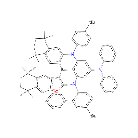 CC(C)(C)c1ccc(N2c3cc4c(cc3B3c5c2cc(N(c2ccccc2)c2ccccc2)cc5N(c2ccc(C(C)(C)C)cc2-c2ccccc2)c2oc5cc6c(cc5c23)C(C)(C)CCC6(C)C)C(C)(C)CCC4(C)C)cc1